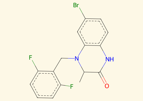 CC1C(=O)Nc2ccc(Br)cc2N1Cc1c(F)cccc1F